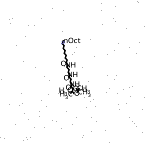 CCCCCCCC/C=C\CCCCCCCC(=O)NCCCNC(=O)CCNC(=O)C1OC(C)(C)OCC1(C)C